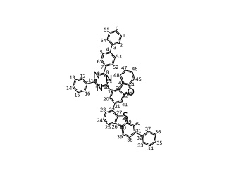 c1ccc(-c2ccc(-c3nc(-c4ccccc4)nc(-c4cc(-c5cccc6c5sc5cc(-c7ccccc7)ccc56)cc5oc6ccccc6c45)n3)cc2)cc1